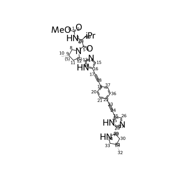 COC(=O)N[C@H](C(=O)N1C[C@@H](C)C[C@H]1c1ncc(C#Cc2ccc(C#Cc3cnc([C@@H]4C[C@H](C)CN4)[nH]3)cc2)[nH]1)C(C)C